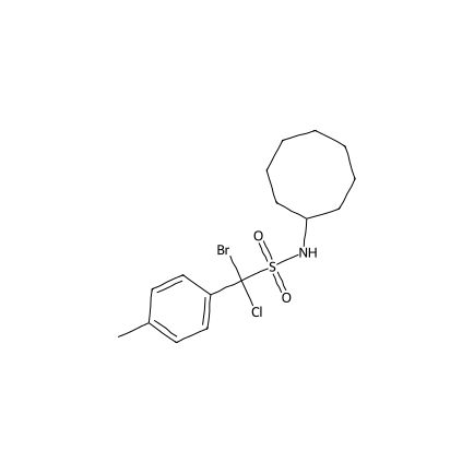 Cc1ccc(C(Cl)(Br)S(=O)(=O)NC2CCCCCCC2)cc1